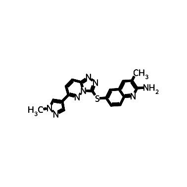 Cc1cc2cc(Sc3nnc4ccc(-c5cnn(C)c5)nn34)ccc2nc1N